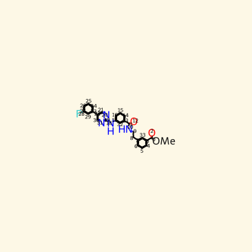 COC(=O)c1cccc(CCNC(=O)c2cccc(Nc3ncc(-c4cccc(F)c4)cn3)c2)c1